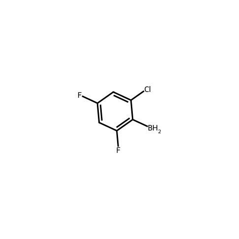 Bc1c(F)cc(F)cc1Cl